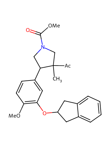 COC(=O)N1CC(c2ccc(OC)c(OC3Cc4ccccc4C3)c2)C(C)(C(C)=O)C1